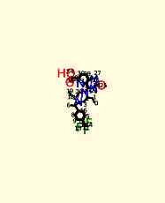 CCC1CN(C(C)c2ccc(C(F)(F)F)cc2)[C@H](CC)CN1c1nc(=O)n(C)c2ccc(C(=O)O)nc12